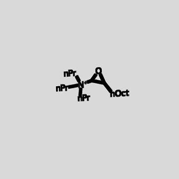 CCCCCCCCC1OC1[N+](CCC)(CCC)CCC